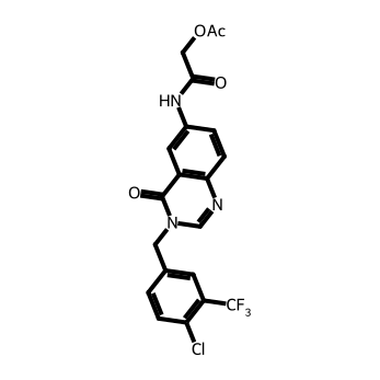 CC(=O)OCC(=O)Nc1ccc2ncn(Cc3ccc(Cl)c(C(F)(F)F)c3)c(=O)c2c1